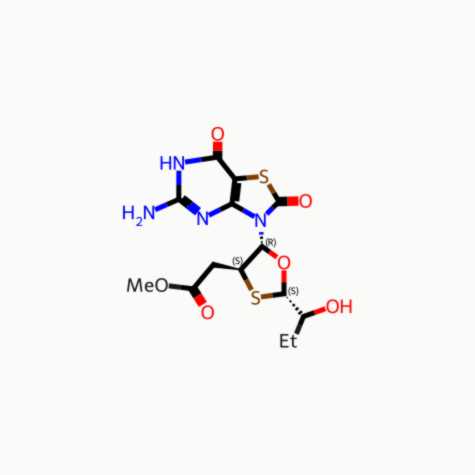 CCC(O)[C@H]1O[C@@H](n2c(=O)sc3c(=O)[nH]c(N)nc32)[C@H](CC(=O)OC)S1